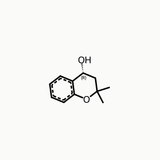 CC1(C)C[C@@H](O)c2ccccc2O1